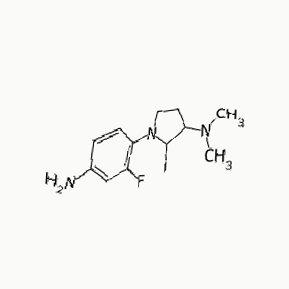 CN(C)C1CCN(c2ccc(N)cc2F)C1I